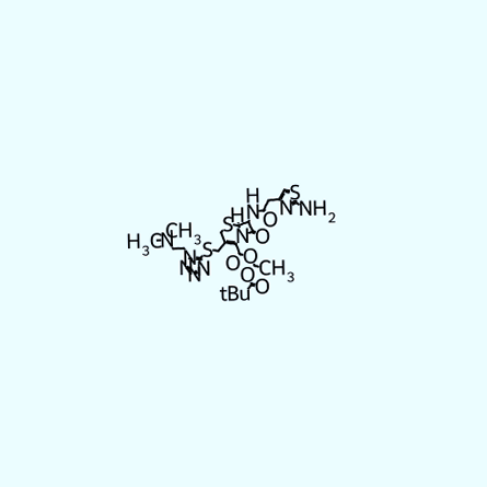 CC(OC(=O)C1=C(CSc2nnnn2CCN(C)C)CS[C@H]2[C@H](NC(=O)Cc3csc(N)n3)C(=O)N12)OC(=O)C(C)(C)C